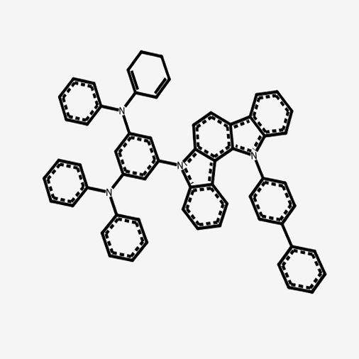 C1=CC(N(c2ccccc2)c2cc(N(c3ccccc3)c3ccccc3)cc(-n3c4ccccc4c4c3ccc3c5ccccc5n(-c5ccc(-c6ccccc6)cc5)c34)c2)=CCC1